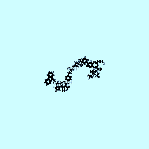 CCCN(NC(=O)OC(C)(C)C)C(=O)C1=Cc2ccc(-c3cccc(S(=O)(=O)N4CC(CNC(=O)OCc5ccc(NC(=O)[C@@H](NC(=O)[C@@H]6CCCN6C(=O)OCC6c7ccccc7-c7ccccc76)C(C)C)cc5)C4)c3)cc2N=C(N)C1